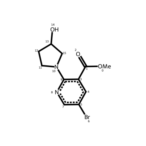 COC(=O)c1cc(Br)cnc1N1CCC(O)C1